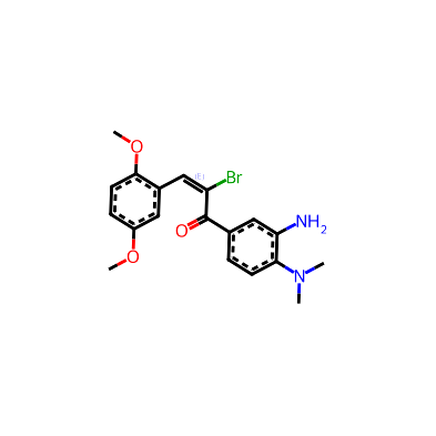 COc1ccc(OC)c(/C=C(/Br)C(=O)c2ccc(N(C)C)c(N)c2)c1